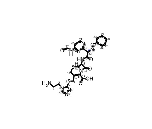 NCCn1nnnc1SCC1=C(C(=O)O)N2C(=O)C(NC(=O)/C(=N/Oc3ccccc3)c3nccc(NC=O)n3)[C@H]2SC1